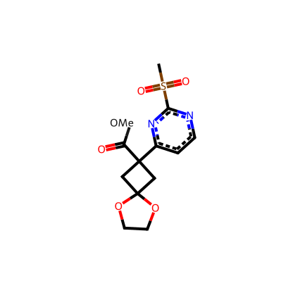 COC(=O)C1(c2ccnc(S(C)(=O)=O)n2)CC2(C1)OCCO2